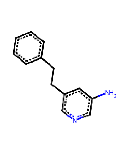 Nc1cncc(CCc2ccccc2)c1